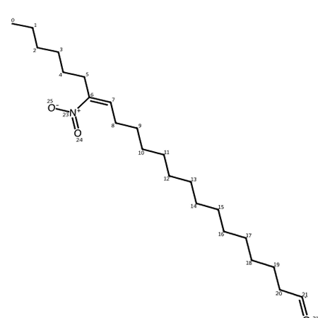 CCCCCC/C(=C/CCCCCCCCCCCCC[C]=O)[N+](=O)[O-]